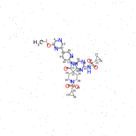 CCOc1cncc(-c2ccc(NC(=O)C3(c4ccnc(NS(=O)(=O)C5CC5)n4)CCN(S(=O)(=O)C4CC4)CC3)nc2)n1